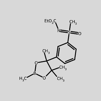 CCOC(=O)N=S(C)(=O)c1cccc(C2(C)OB(C)OC2(C)C)c1